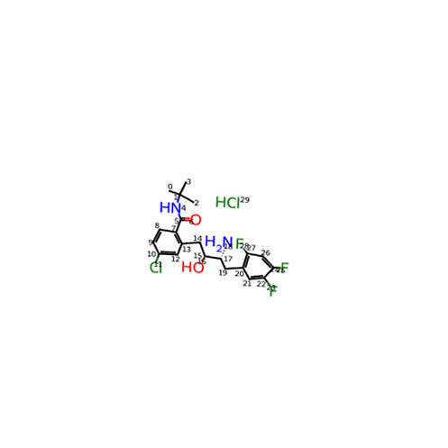 CC(C)(C)NC(=O)c1ccc(Cl)cc1C[C@H](O)[C@H](N)Cc1cc(F)c(F)cc1F.Cl